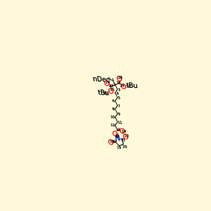 CCCCCCCCCCCC(CCCCCCCCCCC(=O)ON1C(=O)CCC1=O)(C(=O)OC(C)(C)C)C(=O)OC(C)(C)C